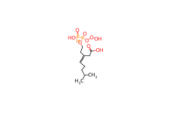 CC(C)CC/C=C(/CCOP(=O)(OOO)[PH](=O)O)CC(=O)O